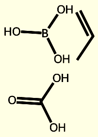 C=CC.O=C(O)O.OB(O)O